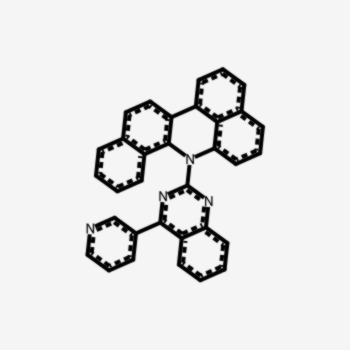 c1cncc(-c2nc(N3c4c(ccc5ccccc45)-c4cccc5cccc3c45)nc3ccccc23)c1